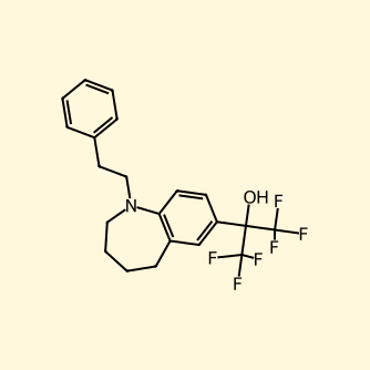 OC(c1ccc2c(c1)CCCCN2CCc1ccccc1)(C(F)(F)F)C(F)(F)F